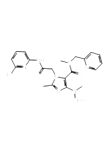 Cc1nc(N(C)C=O)c(C(=O)N(C)Cc2ccccn2)n1CC(=O)Nc1cccc(Br)n1